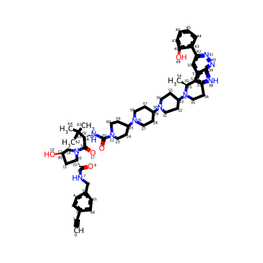 C#Cc1ccc(CNC(=O)[C@@H]2C[C@@H](O)CN2C(=O)[C@@H](NC(=O)N2CCC(N3CCC(N4CCC(N5CCc6[nH]c7nnc(-c8ccccc8O)cc7c6[C@@H]5C)CC4)CC3)CC2)C(C)(C)C)cc1